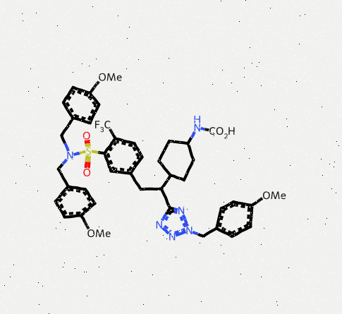 COc1ccc(CN(Cc2ccc(OC)cc2)S(=O)(=O)c2cc(CC(c3nnn(Cc4ccc(OC)cc4)n3)C3CCC(NC(=O)O)CC3)ccc2C(F)(F)F)cc1